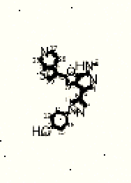 CNc1ncc(-c2cnn(C3CCC(O)CC3)c2)c2cc(-c3csc4cnccc34)oc12